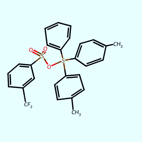 Cc1ccc(S(OS(=O)(=O)c2cccc(C(F)(F)F)c2)(c2ccccc2)c2ccc(C)cc2)cc1